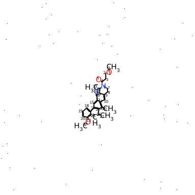 COCCC(=O)N1CC/C(=C/c2c(C#N)cc(-c3cccc(OC)c3)c(C(C)C)c2C)C[C@H]1C